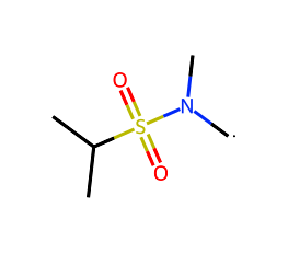 [CH2]N(C)S(=O)(=O)C(C)C